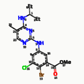 CCC(CC)Nc1nc(Nc2cc(Cl)c(Br)c(C(=O)OC)c2)ncc1C